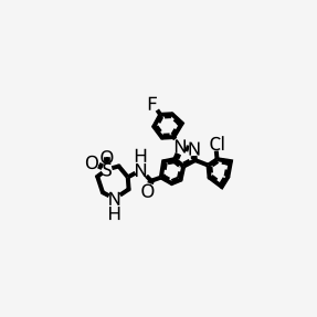 O=C(NC1CNCCS(=O)(=O)C1)c1ccc2c(-c3ccccc3Cl)nn(-c3ccc(F)cc3)c2c1